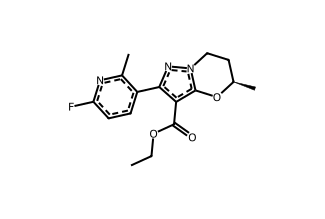 CCOC(=O)c1c(-c2ccc(F)nc2C)nn2c1O[C@H](C)CC2